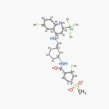 CS(=O)(=O)c1ccc(C(=O)NC2CCC/C(=C\Nc3cc(C(F)(F)F)nc4ccc(F)cc34)C2)c(F)c1